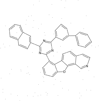 c1ccc(-c2cccc(-c3nc(-c4ccc5ccccc5c4)nc(-c4cccc5oc6c7cnccc7ccc6c45)n3)c2)cc1